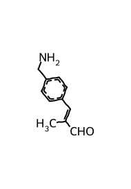 C/C(C=O)=C\c1ccc(CN)cc1